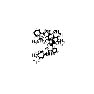 C/C(=C\[C@H](C(C)C)N(C)C(=O)[C@@H](NC(=O)[C@H]1CCCCN1C(C)C)C(C)(C)C)C(=O)N1CCC[C@H]1C(=O)N[C@H](CO)CC(C)C